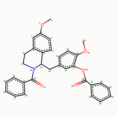 COc1ccc2c(c1)CCN(C(=O)c1ccccc1)C2Cc1ccc(OC)c(OC(=O)c2ccccc2)c1